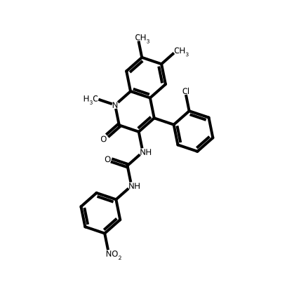 Cc1cc2c(-c3ccccc3Cl)c(NC(=O)Nc3cccc([N+](=O)[O-])c3)c(=O)n(C)c2cc1C